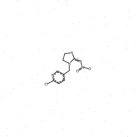 O=[N+]([O-])/N=C1/SCCN1Cc1ccc(Cl)nc1